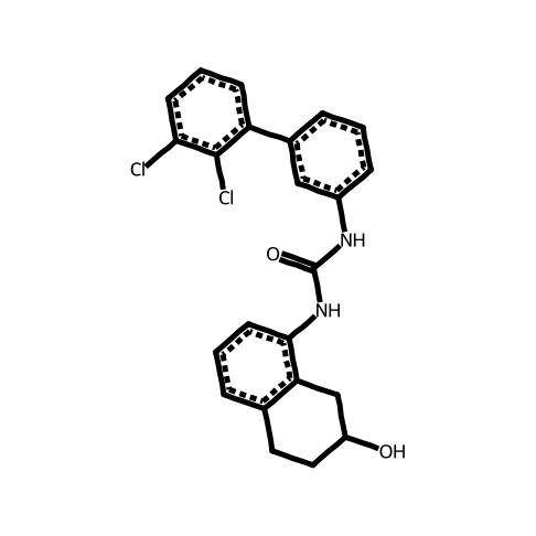 O=C(Nc1cccc(-c2cccc(Cl)c2Cl)c1)Nc1cccc2c1CC(O)CC2